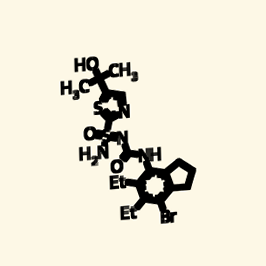 CCc1c(Br)c2c(c(NC(=O)N=S(N)(=O)c3ncc(C(C)(C)O)s3)c1CC)CCC2